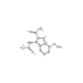 COc1cccc2c(NC(C)=O)c(C(C)=O)oc12